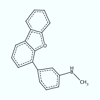 CBc1cccc(-c2cccc3c2oc2ccccc23)c1